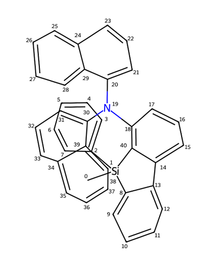 C[Si]1(c2ccccc2)c2ccccc2-c2cccc(N(c3cccc4ccccc34)c3cccc4ccccc34)c21